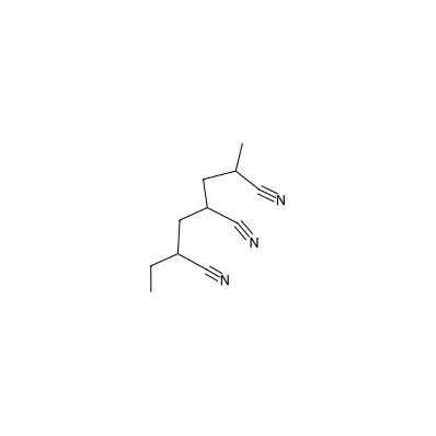 CCC(C#N)CC(C#N)CC(C)C#N